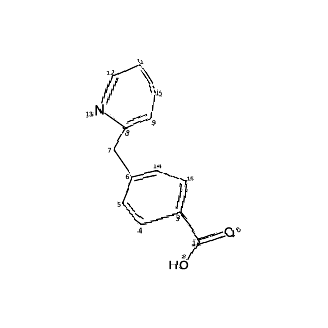 O=C(O)c1ccc(Cc2ccccn2)cc1